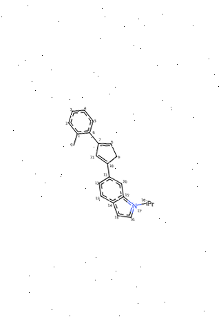 Cc1ccccc1C1=CCC(c2ccc3ccn(C(C)C)c3c2)=C1